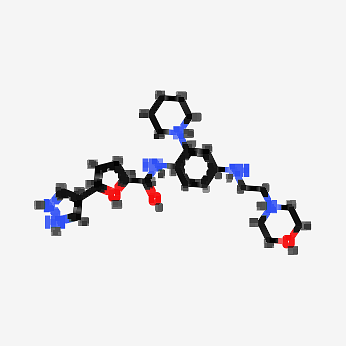 O=C(Nc1ccc(NCCN2CCOCC2)cc1N1CCCCC1)c1ccc(-c2cn[nH]c2)o1